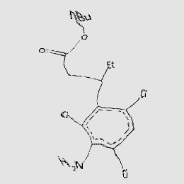 CCCCOC(=O)CC(CC)c1c(Cl)cc(Cl)c(N)c1Cl